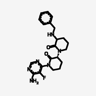 Nc1ncnc(N2CCC[C@@H](N3CCCC(NCc4ccccc4)C3=O)C2=O)c1F